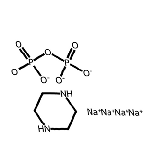 C1CNCCN1.O=P([O-])([O-])OP(=O)([O-])[O-].[Na+].[Na+].[Na+].[Na+]